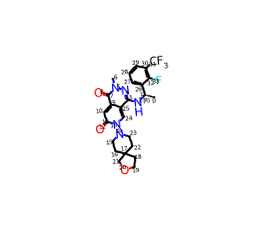 C[C@@H](Nc1nn(C)c(=O)c2cc(=O)n(N3CCC4(CCOC4)CC3)cc12)c1cccc(C(F)(F)F)c1F